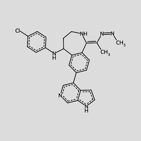 C/N=N\C(C)=C1/NCCC(Nc2ccc(Cl)cc2)c2cc(-c3cncc4[nH]ccc34)ccc21